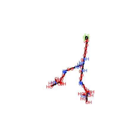 O=N[C@](C[C@H](O)[C@H](C[C@H](O)CCO)NC(=O)CO)(OCCOCCOCc1cn(CCOCCOCCC(=O)NCCCC[C@@H](CNCC(=O)NCCOCCOCCOCCOCCC(=O)Oc2c(F)c(F)c(F)c(F)c2F)NC(=O)CCCNCCCOCCOCCn2cc(COCCOCCO[C@](O)(CC[C@H](C[C@H](O)CCO)NC(=O)CO)C(=O)O)nn2)nn1)C(=O)O